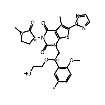 COc1ccc(F)cc1[C@H](Cn1c(=O)n([C@@H]2CCN(C)C2=O)c(=O)c2c(C)c(-n3nccn3)sc21)OCCO